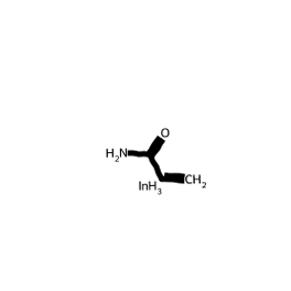 C=CC(N)=O.[InH3]